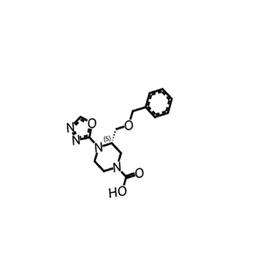 O=C(O)N1CCN(c2nnco2)[C@H](COCc2ccccc2)C1